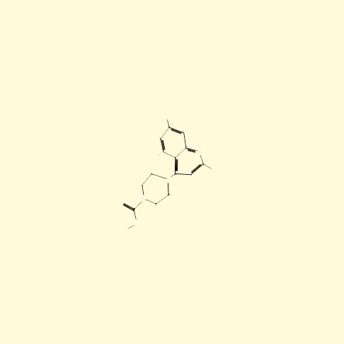 CC(C)(C)OC(=O)N1CCN(c2cc(C(=O)O)nc3cc(Cl)ccc23)CC1